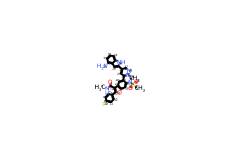 CNC(=O)c1c(-c2ccc(F)cc2)oc2cc(N(C)S(C)(=O)=O)c(-c3cc(-c4cc5c(N)cccc5[nH]4)cnn3)cc12